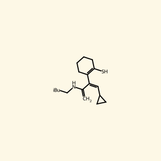 C=C(NCC(C)CC)/C(=C\C1CC1)C1=C(S)CCCC1